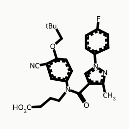 Cc1nn(-c2ccc(F)cc2)cc1C(=O)N(CCCC(=O)O)c1ccc(OCC(C)(C)C)c(C#N)c1